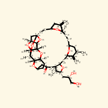 C=C1CC2CC[C@@]34C[C@H]5O[C@H]6[C@@H](O3)[C@H]3OC(CC[C@@H]3O[C@H]6C5O4)CC(=O)C[C@H]3C(C[C@H]4OC(CC[C@H]1O2)C[C@@H](C)C4=C)O[C@H](C[C@H](O)CO)[C@@H]3C